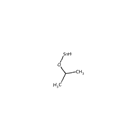 CC(C)[O][SnH]